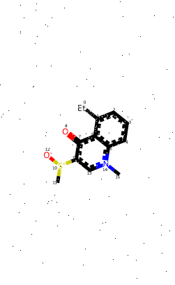 CCc1cccc2c1c(=O)c([S+](C)[O-])cn2C